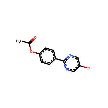 CC(=O)Oc1ccc(-c2ncc(O)cn2)cc1